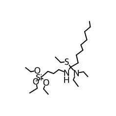 CCCCCCCCC(NCCC[Si](OCC)(OCC)OCC)(SCC)N(CC)CC